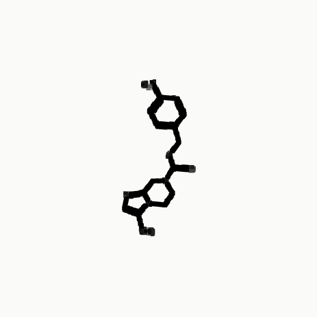 O=Cc1cnc2n1CCN(C(=O)OCc1ccc([N+](=O)[O-])cc1)C2